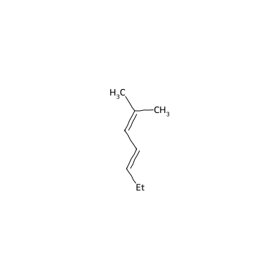 CCC=CC=C(C)C